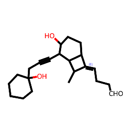 CC1/C(=C\CCC=O)C2CCC(O)C(C#CCC3(O)CCCCC3)C12